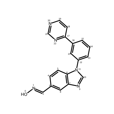 ON=Cc1ccc2c(c1)ncn2-c1cccc(-c2ccncn2)c1